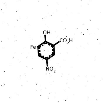 O=C(O)c1cc([N+](=O)[O-])ccc1O.[Fe]